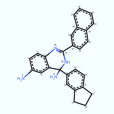 Nc1ccc2c(c1)C(N)(c1ccc3c(c1)CCC3)NC(c1ccc3ccccc3c1)=N2